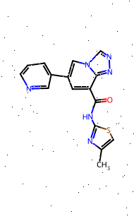 Cc1csc(NC(=O)c2cc(-c3cccnc3)cn3cnnc23)n1